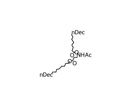 CCCCCCCCCCCCCCCCCCOC(=O)C(CNC(C)=O)OC(=O)CCCCCCCCCCCCCCCCC